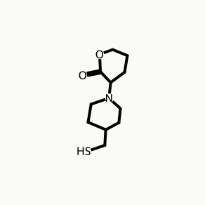 O=C1OCCCC1N1CCC(CS)CC1